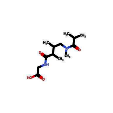 CC(C)C(=O)N(C)CC(C)C(C)C(=O)NCC(=O)O